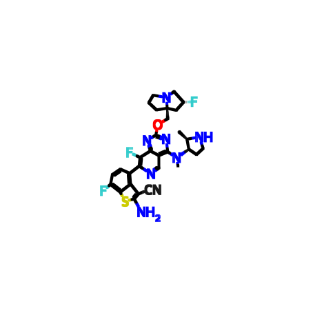 C[C@H]1NCC[C@H]1N(C)c1nc(OC[C@@]23CCCN2C[C@H](F)C3)nc2c(F)c(-c3ccc(F)c4sc(N)c(C#N)c34)ncc12